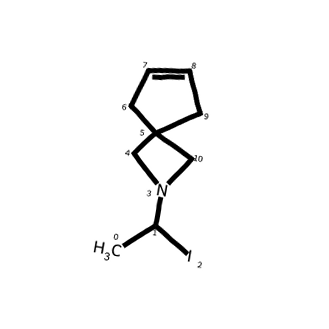 CC(I)N1CC2(CC=CC2)C1